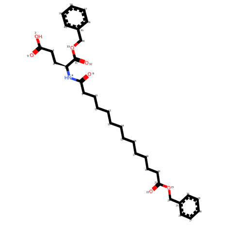 O=C(O)CC[C@H](NC(=O)CCCCCCCCCCCCC(=O)OCc1ccccc1)C(=O)OCc1ccccc1